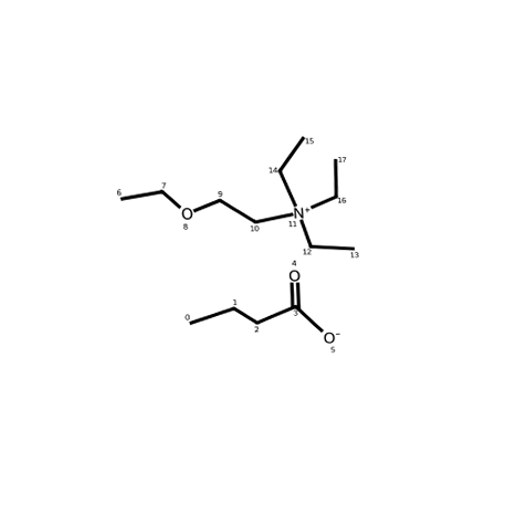 CCCC(=O)[O-].CCOCC[N+](CC)(CC)CC